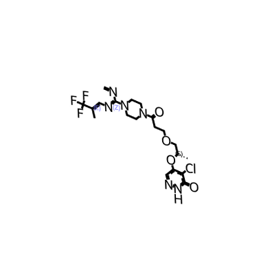 C=N/C(=N\C=C(/C)C(F)(F)F)N1CCN(C(=O)CCOC[C@H](C)Oc2cn[nH]c(=O)c2Cl)CC1